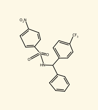 O=[N+]([O-])c1ccc(S(=O)(=O)NC(c2ccccc2)c2ccc(C(F)(F)F)cc2)cc1